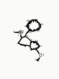 CNC1CCc2cc(OC)ccc2C1c1ccccc1